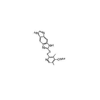 COc1c(C)cnc(CSc2nc3cc4[nH]cnc4cc3[nH]2)c1C